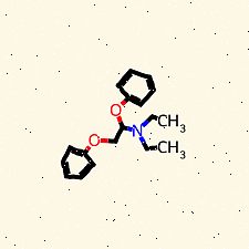 CCN(CC)C(COc1ccccc1)Oc1ccccc1